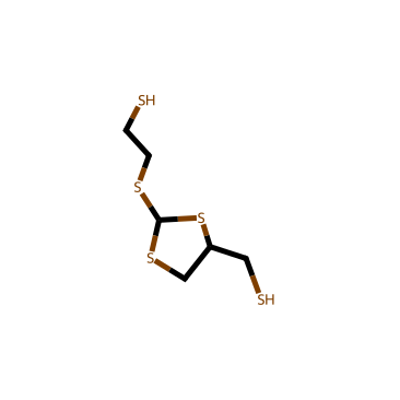 SCCSC1SCC(CS)S1